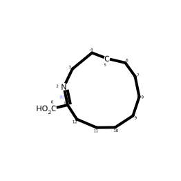 O=C(O)/C1=N/CCCCCCCCCC1